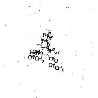 CC(=O)O.CC(=O)OC1CCN(c2nc(C(F)(F)F)ccc2CN)CC1